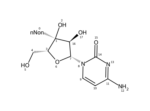 CCCCCCCCC[C@@]1(O)[C@@H](CO)O[C@@H](n2ccc(N)nc2=O)[C@@H]1O